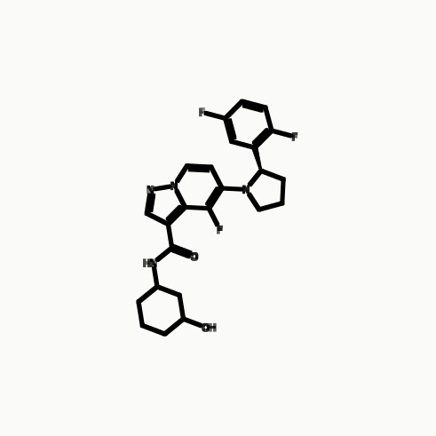 O=C(NC1CCCC(O)C1)c1cnn2ccc(N3CCC[C@@H]3c3cc(F)ccc3F)c(F)c12